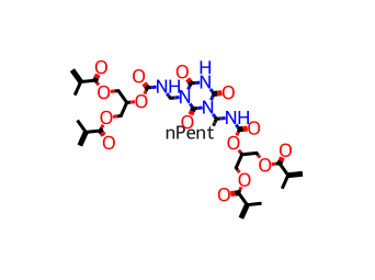 C=C(C)C(=O)OCC(COC(=O)C(=C)C)OC(=O)NCn1c(=O)[nH]c(=O)n(C(CCCCC)NC(=O)OC(COC(=O)C(=C)C)COC(=O)C(=C)C)c1=O